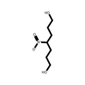 O=[N+]([O-])C(CCCO)CCCO